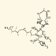 CCCCCCCCc1c(O)c(-n2nc3ccccc3n2)cc(C)c1C(C)C